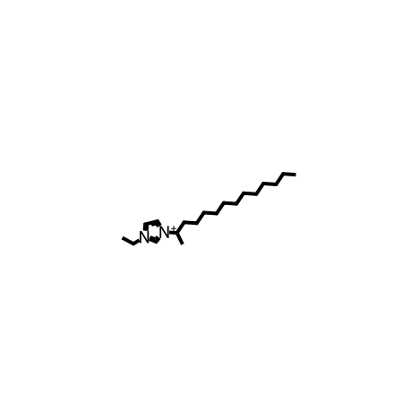 CCCCCCCCCCCCC(C)[n+]1ccn(CC)c1